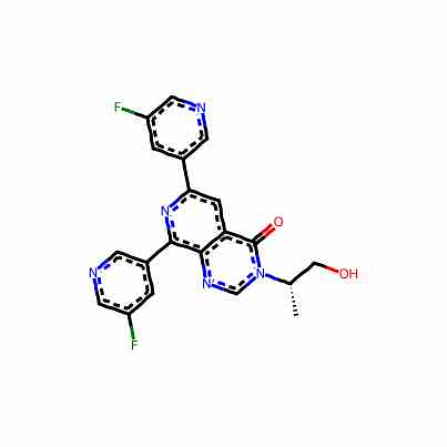 C[C@@H](CO)n1cnc2c(-c3cncc(F)c3)nc(-c3cncc(F)c3)cc2c1=O